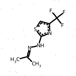 CC(C)=NNc1nc(C(F)(F)F)cs1